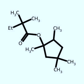 CCC(C)(C)C(=O)OC1(C)CC(C)(C)CC1C